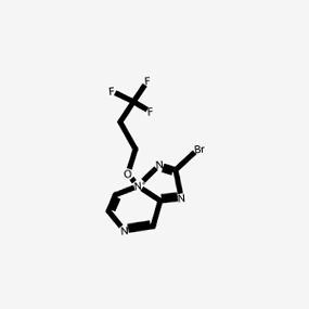 FC(F)(F)CCO[N+]12C=CN=CC1=NC(Br)=N2